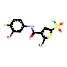 Cc1sc(S(=O)(=O)Cl)cc1C(=O)Nc1ccc(F)c(Br)c1